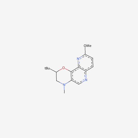 COc1ccc2ncc3c(c2n1)OC(C(C)(C)C)CN3C